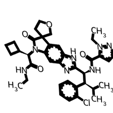 CCNC(=O)[C@@H](C1CCC1)N1C(=O)C2(CCOC2)c2cc3[nH]c([C@@H](NC(=O)c4ccnn4CC)[C@H](c4ccccc4Cl)C(C)C)nc3cc21